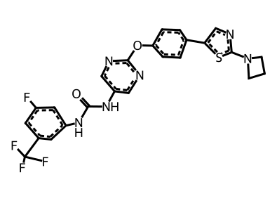 O=C(Nc1cnc(Oc2ccc(-c3cnc(N4CCC4)s3)cc2)nc1)Nc1cc(F)cc(C(F)(F)F)c1